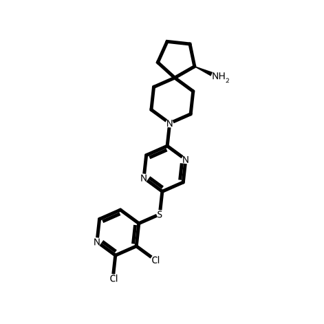 N[C@@H]1CCCC12CCN(c1cnc(Sc3ccnc(Cl)c3Cl)cn1)CC2